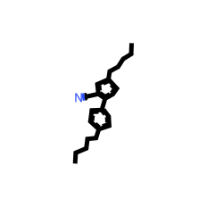 CCCCCc1ccc(-c2ccc(CCCCC)cc2C#N)cc1